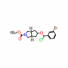 CC(C)(C)OC(=O)N1C[C@H]2CC(OC(Cl)c3cccc(Br)c3)C[C@H]2C1